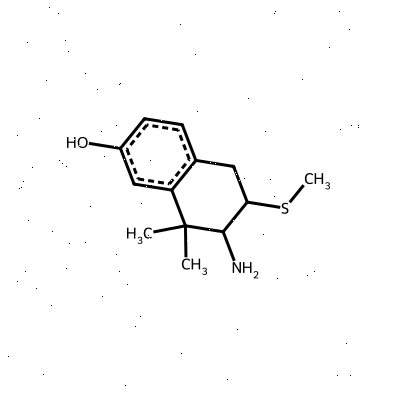 CSC1Cc2ccc(O)cc2C(C)(C)C1N